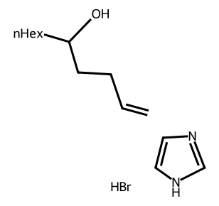 Br.C=CCCC(O)CCCCCC.c1c[nH]cn1